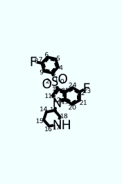 O=S(=O)(c1cccc(F)c1)c1cn(C2CCCNC2)c2ccc(F)cc12